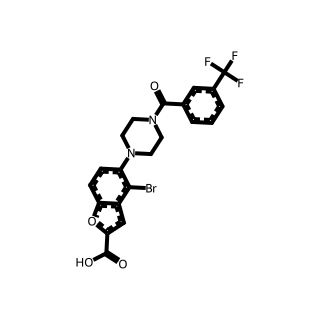 O=C(O)c1cc2c(Br)c(N3CCN(C(=O)c4cccc(C(F)(F)F)c4)CC3)ccc2o1